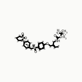 CC(C)(C)OC(=O)NC/C(=C\F)COc1ccc(S(=O)(=O)CC23CCC(N4CCCS4(=O)=O)(CC2)CC3)cc1